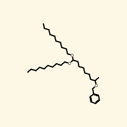 CCCCCCCCCCOC(CCCCCCC(C)OCc1ccccc1)OCCCCCCCCCC